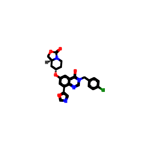 O=C1OC[C@@H]2C[C@@H](Oc3cc(-c4cnco4)c4ncn(Cc5ccc(Cl)cc5)c(=O)c4c3)CCN12